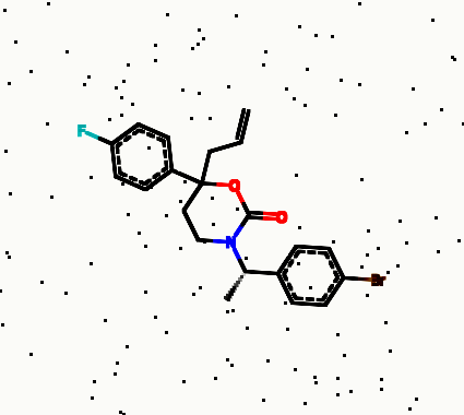 C=CCC1(c2ccc(F)cc2)CCN([C@@H](C)c2ccc(Br)cc2)C(=O)O1